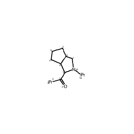 CC(C)C(=O)C1C2CCCC2CN1C(C)C